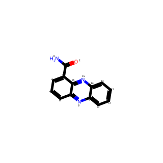 NC(=O)c1cccc2nc3ccccc3nc12